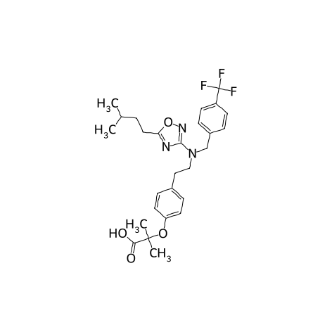 CC(C)CCc1nc(N(CCc2ccc(OC(C)(C)C(=O)O)cc2)Cc2ccc(C(F)(F)F)cc2)no1